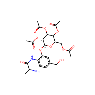 CC(=O)OCC1O[C@@H](Oc2cc(CO)ccc2NC(=O)C(C)N)[C@H](OC(C)=O)C(OC(C)=O)C1OC(C)=O